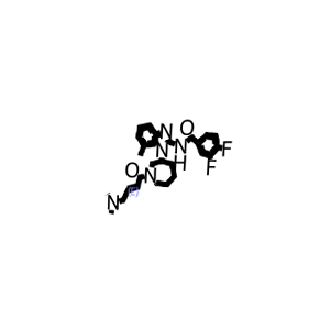 Cc1cccc2nc(NC(=O)c3ccc(F)c(F)c3)n(C3CCCCN(C(=O)/C=C/CN(C)C)C3)c12